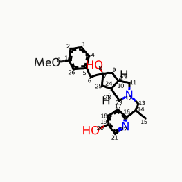 COc1cccc(C[C@]2(O)C[C@H]3CN(CC(C)c4ccc(O)cn4)C[C@H]3C2)c1